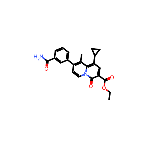 CCOC(=O)c1cc(C2CC2)c2c(C)c(-c3cccc(C(N)=O)c3)ccn2c1=O